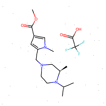 COC(=O)c1cc(CN2CCN(C(C)C)[C@H](C)C2)n(C)c1.O=C(O)C(F)(F)F